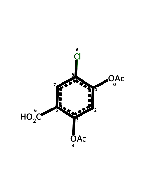 CC(=O)Oc1cc(OC(C)=O)c(C(=O)O)cc1Cl